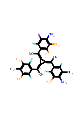 Cc1c(N)c(P)c(F)c(/C(C#N)=C2/C(=C(C#N)c3c(F)c(I)c(N)c(P)c3P)/C2=C(/C#N)c2c(F)c(P)c(C)c(P)c2F)c1F